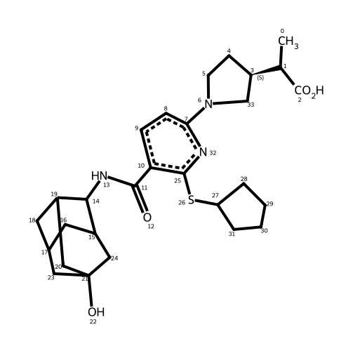 CC(C(=O)O)[C@@H]1CCN(c2ccc(C(=O)NC3C4CC5CC3CC(O)(C5)C4)c(SC3CCCC3)n2)C1